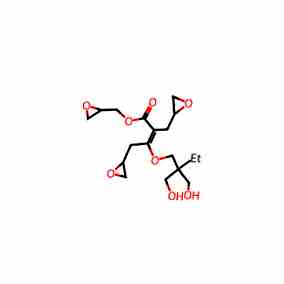 CCC(CO)(CO)COC(CC1CO1)=C(CC1CO1)C(=O)OCC1CO1